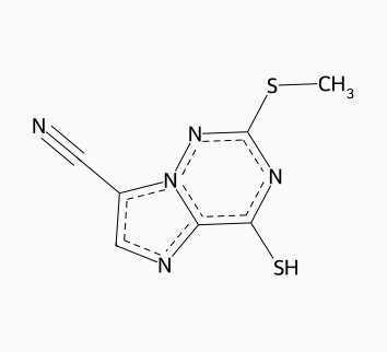 CSc1nc(S)c2ncc(C#N)n2n1